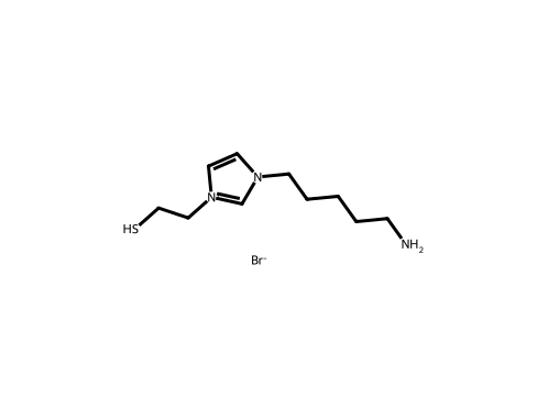 NCCCCCn1cc[n+](CCS)c1.[Br-]